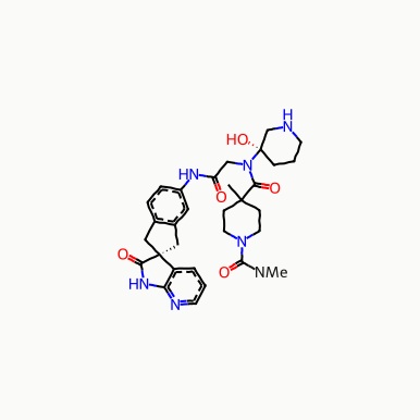 CNC(=O)N1CCC(C)(C(=O)N(CC(=O)Nc2ccc3c(c2)C[C@@]2(C3)C(=O)Nc3ncccc32)[C@]2(O)CCCNC2)CC1